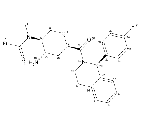 CCC(=O)N(C)[C@H]1CO[C@@H](C(=O)N2CCc3ccccc3[C@@H]2c2ccc(F)cc2)C[C@@H]1N